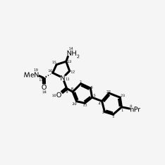 CCCc1ccc(-c2ccc(C(=O)N3CC(N)C[C@H]3C(=O)NC)cc2)cc1